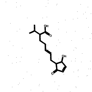 CC(C)C(CCC=CCC1C(=O)C=CC1O)C(=O)O